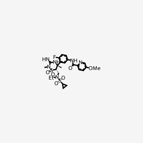 CCN(C[C@H]1[C@@](C)(c2cc(NC(=O)c3ccc(OC)cn3)ccc2F)NC(=N)N(C)S1(=O)=O)S(=O)(=O)C1CC1